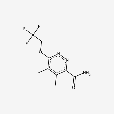 Cc1c(OCC(F)(F)F)nnc(C(N)=O)c1C